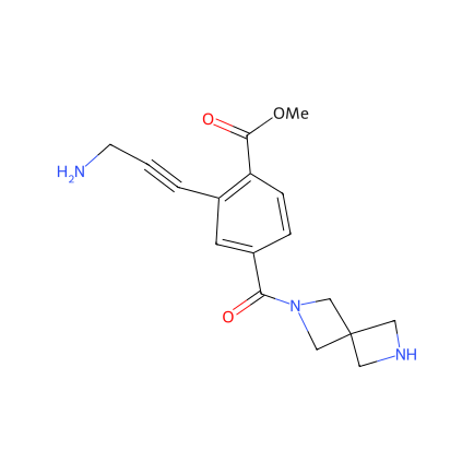 COC(=O)c1ccc(C(=O)N2CC3(CNC3)C2)cc1C#CCN